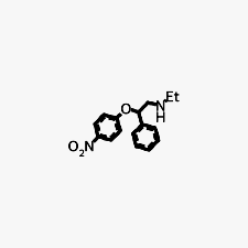 CCNCC(Oc1ccc([N+](=O)[O-])cc1)c1ccccc1